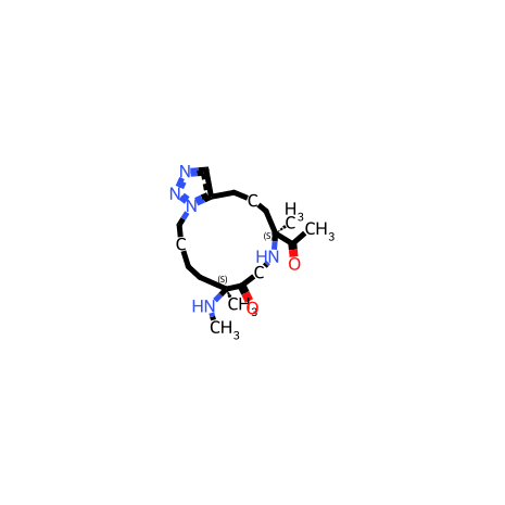 CN[C@@]1(C)CCCCn2nncc2CCC[C@@](C)(C(C)=O)NCC1=O